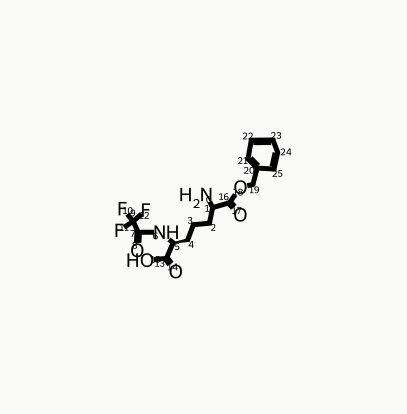 NC(CCC[C@H](NC(=O)C(F)(F)F)C(=O)O)C(=O)OCc1ccccc1